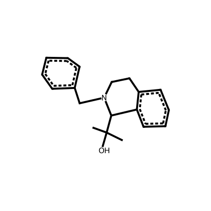 CC(C)(O)C1c2ccccc2CCN1Cc1ccccc1